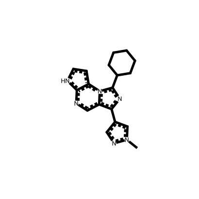 Cn1cc(-c2nc(C3CCCCC3)n3c2cnc2[nH]ccc23)cn1